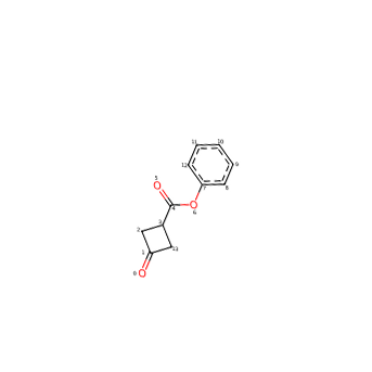 O=C1CC(C(=O)Oc2ccccc2)C1